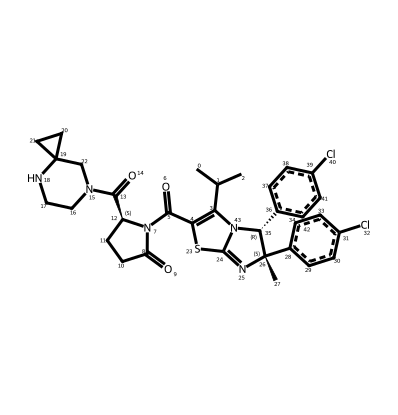 CC(C)C1=C(C(=O)N2C(=O)CC[C@H]2C(=O)N2CCNC3(CC3)C2)SC2=N[C@@](C)(c3ccc(Cl)cc3)[C@@H](c3ccc(Cl)cc3)N21